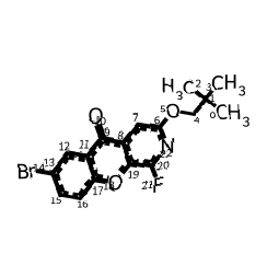 CC(C)(C)COc1cc2c(=O)c3cc(Br)ccc3oc2c(F)n1